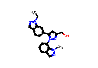 CCn1ncc2ccc(-c3cc(CO)nn3-c3cccc4cnn(C)c34)cc21